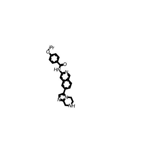 CC(C)Oc1ccc(C(=O)Nc2cc3cc(-c4cnc5n4CCNC5)ccc3cn2)cc1